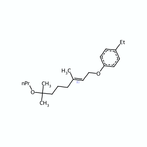 CCCOC(C)(C)CCC/C(C)=C/COc1ccc(CC)cc1